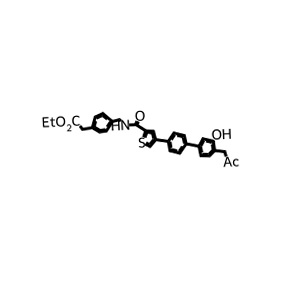 CCOC(=O)Cc1ccc(CNC(=O)c2cc(-c3ccc(-c4ccc(CC(C)=O)c(O)c4)cc3)cs2)cc1